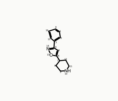 c1ccc(-c2cc(C3CCNCC3)on2)cc1